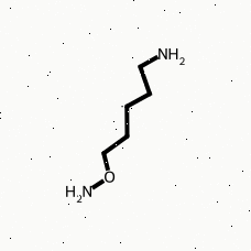 NCC[CH]CCON